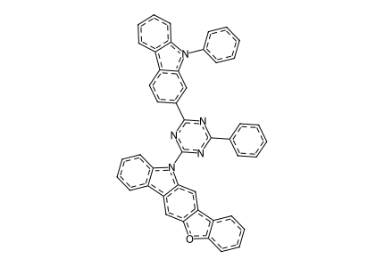 c1ccc(-c2nc(-c3ccc4c5ccccc5n(-c5ccccc5)c4c3)nc(-n3c4ccccc4c4cc5oc6ccccc6c5cc43)n2)cc1